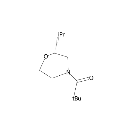 CC(C)[C@@H]1CN(C(=O)C(C)(C)C)CCO1